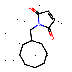 O=C1C=CC(=O)N1C[C]1CCCCCCC1